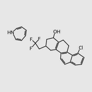 C1=CC=CNC=C1.OC1CC(CC(F)(F)F)CC2=C1CCc1c2ccc2cccc(Cl)c12